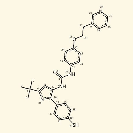 CC(C)(C)c1cc(NC(=O)Nc2ccc(OCCc3cccnc3)cc2)n(-c2ccc(S)cc2)n1